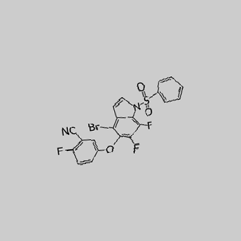 N#Cc1cc(Oc2c(F)c(F)c3c(ccn3S(=O)(=O)c3ccccc3)c2Br)ccc1F